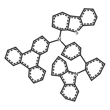 c1ccc(-n2c3ccccc3c3ccccc32)c(-c2ccc(N(c3ccc4c5ccccc5c5ccccc5c4c3)c3cccc4c3sc3ccccc34)cc2)c1